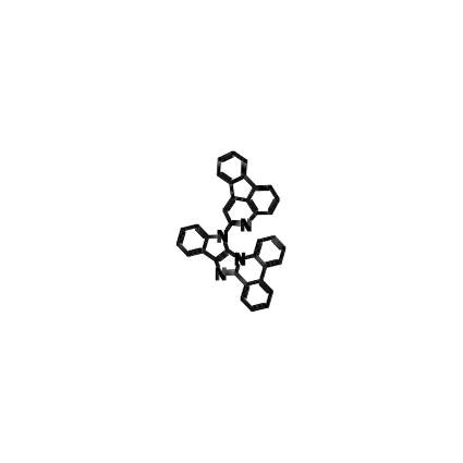 c1ccc2c(c1)-c1cccc3nc(-n4c5ccccc5c5nc6c7ccccc7c7ccccc7n6c54)cc-2c13